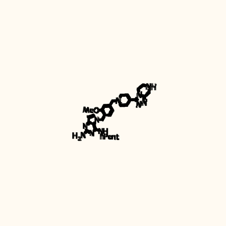 CCCCCNc1nc(N)nc2ccn(Cc3ccc(CN4CCC(c5nnc6n5CCNC6)CC4)cc3OC)c12